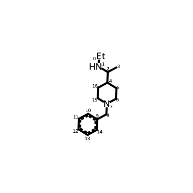 CCNC(C)C1CCN(Cc2ccccc2)CC1